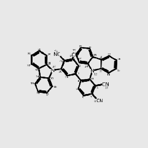 N#Cc1cc(-c2ccc(C#N)c(C#N)c2-n2c3ccccc3c3ccccc32)cc(-n2c3ccccc3c3ccccc32)c1C#N